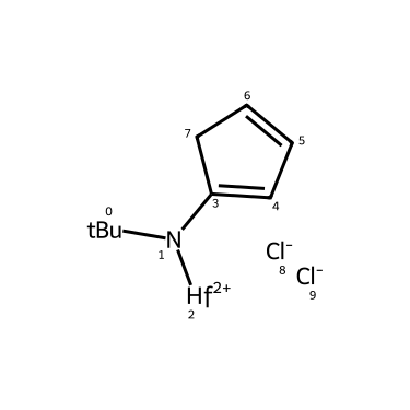 CC(C)(C)[N]([Hf+2])C1=CC=CC1.[Cl-].[Cl-]